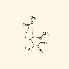 COC(=O)C1=Cc2c(c(C)c(C)c(=O)n2C)CC1